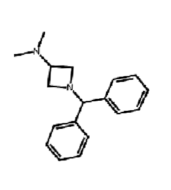 CN(C)C1CN(C(c2ccccc2)c2ccccc2)C1